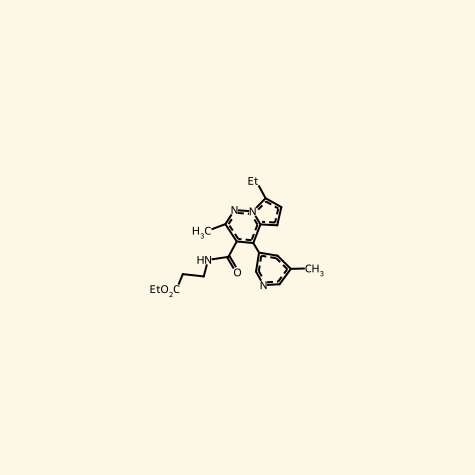 CCOC(=O)CCNC(=O)c1c(C)nn2c(CC)ccc2c1-c1cncc(C)c1